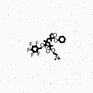 CCC(C)(CC(C)(CC(C)(C)C(=O)OCCN(C)C)C(=O)OCc1c(F)c(F)c(F)c(F)c1F)C(=O)OC1CCCCC1